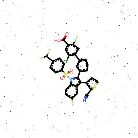 N#Cc1sccc1-c1c(-c2cccc(-c3cc(F)c(C(=O)O)cc3Cl)c2)n(S(=O)(=O)c2ccc(C(F)F)cc2)c2ccc(F)cc12